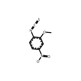 COc1cc([N+](=O)[O-])ccc1N=C=S